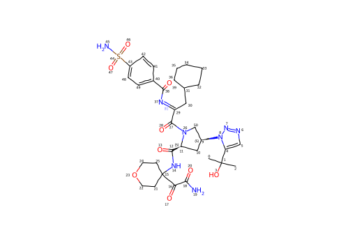 CC(C)(O)c1cnnn1[C@H]1C[C@@H](C(=O)NC2(C(=O)C(N)=O)CCOCC2)N(C(=O)/C(CC2CCCCC2)=N/C(=O)c2ccc(S(N)(=O)=O)cc2)C1